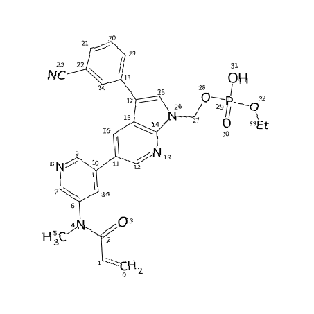 C=CC(=O)N(C)c1cncc(-c2cnc3c(c2)c(-c2cccc(C#N)c2)cn3COP(=O)(O)OCC)c1